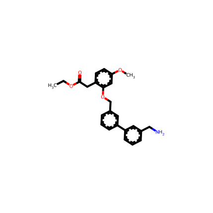 CCOC(=O)Cc1ccc(OC)cc1OCc1cccc(-c2cccc(CN)c2)c1